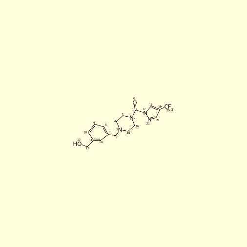 O=C(N1CCN(Cc2cccc(CO)c2)CC1)n1cc(C(F)(F)F)cn1